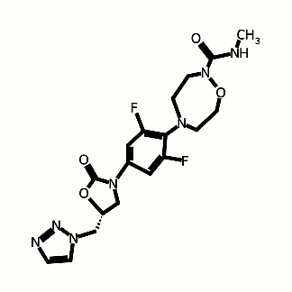 CNC(=O)N1CCN(c2c(F)cc(N3C[C@H](Cn4ccnn4)OC3=O)cc2F)CCO1